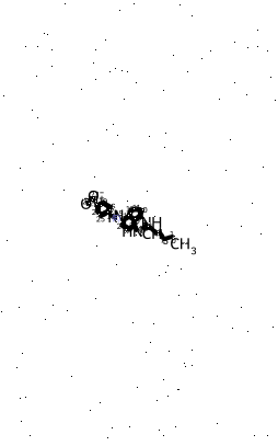 CCCCCCC1(C)Nc2cccc3c(/N=N/c4ccc([N+](=O)[O-])cc4)ccc(c23)N1